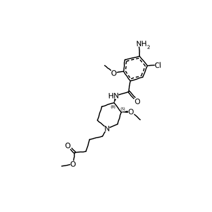 COC(=O)CCCN1CC[C@@H](NC(=O)c2cc(Cl)c(N)cc2OC)[C@@H](OC)C1